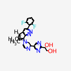 CC1(C)[C@H]2CC[C@@]1(N1C=CN=C(c3cnc(C(O)CO)nc3)C1)c1nnc(-c3c(F)cccc3F)cc12